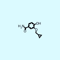 NC(=O)c1ccc(O)c(OCC2CC2)c1